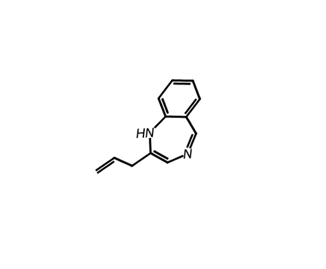 C=CCC1=CN=Cc2ccccc2N1